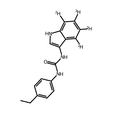 [2H]c1c([2H])c([2H])c2c(NC(=O)Nc3ccc(CC)cc3)c[nH]c2c1[2H]